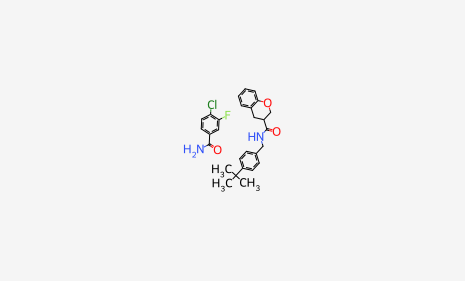 CC(C)(C)c1ccc(CNC(=O)C2COc3ccccc3C2)cc1.NC(=O)c1ccc(Cl)c(F)c1